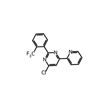 FC(F)(F)c1ccccc1-c1nc(Cl)cc(-c2ccccn2)n1